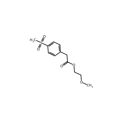 COCCOC(=O)Cc1ccc(S(C)(=O)=O)cc1